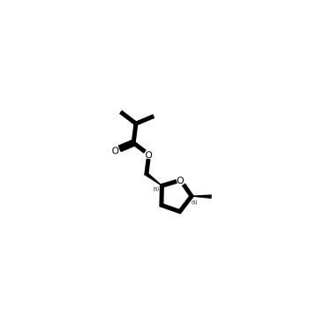 CC(C)C(=O)OC[C@@H]1CC[C@H](C)O1